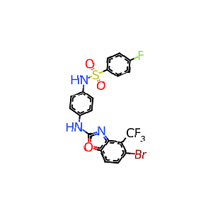 O=S(=O)(Nc1ccc(Nc2nc3c(C(F)(F)F)c(Br)ccc3o2)cc1)c1ccc(F)cc1